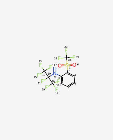 O=S(=O)(c1ccccc1NC(F)(C(F)(F)F)C(F)(F)F)C(F)(F)F